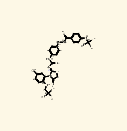 O=C(/N=C1\SCC(=O)N1c1cc(Cl)ccc1OCC(F)(F)F)Nc1ccc(NNC(=O)c2ccc(OC(F)(F)F)cc2)cc1